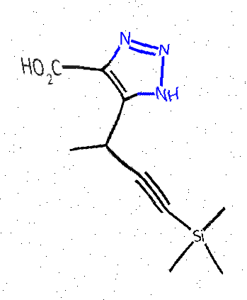 CC(C#C[Si](C)(C)C)c1[nH]nnc1C(=O)O